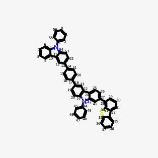 c1ccc(-n2c3ccccc3c3cc(-c4ccc(-c5ccc6c(c5)c5ccc(-c7cccc8c7sc7ccccc78)cc5n6-c5ccccc5)cc4)ccc32)cc1